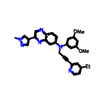 CCc1ccnc(C#CCN(c2cc(OC)cc(OC)c2)c2ccc3ncc(-c4cnn(C)c4)nc3c2)c1